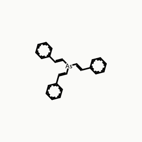 C(=C\[As](/C=C/c1ccccc1)/C=C/c1ccccc1)/c1ccccc1